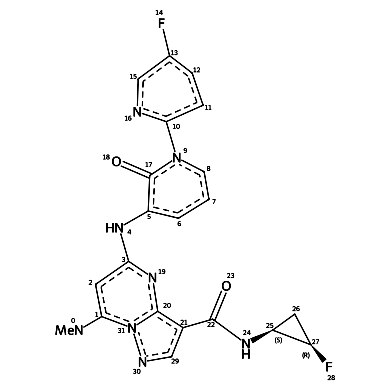 CNc1cc(Nc2cccn(-c3ccc(F)cn3)c2=O)nc2c(C(=O)N[C@H]3C[C@H]3F)cnn12